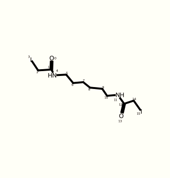 O=C(CI)NCCCCCCNC(=O)CI